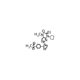 CC[C@@H]1C(=O)N(C)c2cnc(-n3ccnc3-c3ccc(S(C)(=O)=O)cc3)nc2N1C1CCCC1